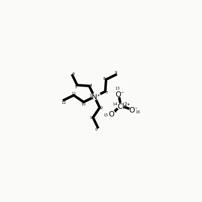 CCC[N+](CCC)(CCC)CCC.[O-][Cl+2]([O-])[O-]